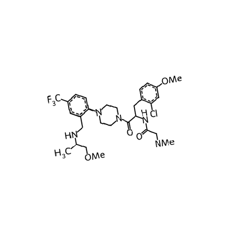 CNCC(=O)NC(Cc1ccc(OC)cc1Cl)C(=O)N1CCN(c2ccc(C(F)(F)F)cc2CNC(C)COC)CC1